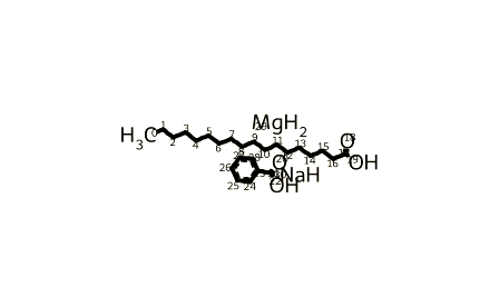 CCCCCCCCCCCCCCCCCC(=O)O.O=C(O)c1ccccc1.[MgH2].[NaH]